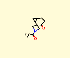 O=C(N1CC2(C1)C(=O)CCC1CC12)C(F)(F)F